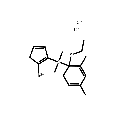 CCSC1([Si](C)(C)C2=[C]([Ti+2])CC=C2)CC=C(C)C=C1C.[Cl-].[Cl-]